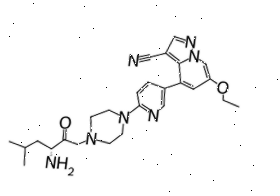 CCOc1cc(-c2ccc(N3CCN(CC(=O)[C@H](N)CC(C)C)CC3)nc2)c2c(C#N)cnn2c1